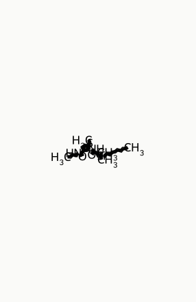 CCCCCCCCCC[Si](C)(C)CCC(=O)Nc1cc(C(=O)NCCCC)ccc1SC